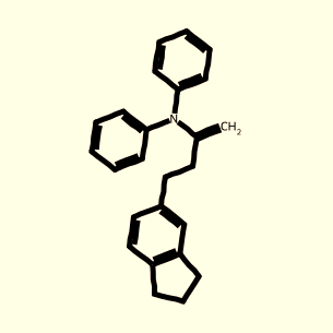 C=C(CCc1ccc2c(c1)CCC2)N(c1ccccc1)c1ccccc1